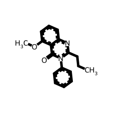 CCCc1nc2cccc(OC)c2c(=O)n1-c1ccccc1